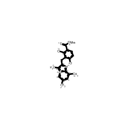 COC(=O)c1ccc(Cl)c(Cc2nc3c(C)cc(C(F)(F)F)cn3c2C)c1Cl